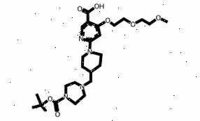 COCCOCCOc1cc(N2CCC(CN3CCN(C(=O)OC(C)(C)C)CC3)CC2)ncc1C(=O)O